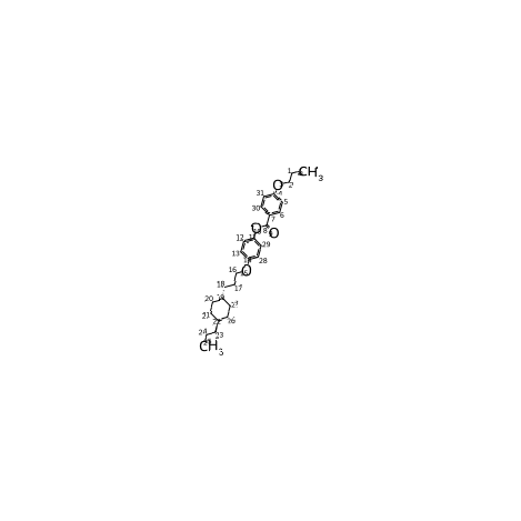 CCCOc1ccc(C(=O)Oc2ccc(OCCC[C@H]3CC[C@H](CCC)CC3)cc2)cc1